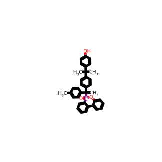 Cc1ccc(C(C)(c2ccc(C(C)(C)c3ccc(O)cc3)cc2)P2(=O)Oc3ccccc3-c3ccccc32)cc1